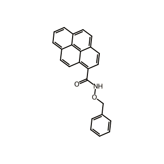 O=C(NOCc1ccccc1)c1ccc2ccc3cccc4ccc1c2c34